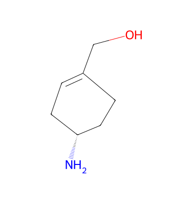 N[C@@H]1CC=C(CO)CC1